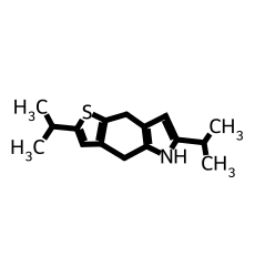 CC(C)c1cc2c([nH]1)Cc1cc(C(C)C)sc1C2